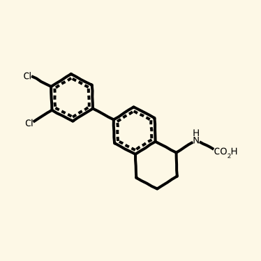 O=C(O)NC1CCCc2cc(-c3ccc(Cl)c(Cl)c3)ccc21